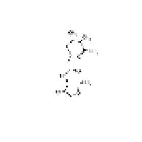 CC(CC[CH]C(=O)N[C@@H]1C(=O)CO[C@H]1C)C(C)C(N)=O